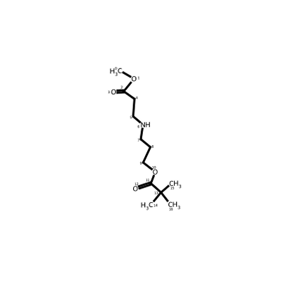 COC(=O)CCNCCCOC(=O)C(C)(C)C